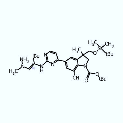 CCC(C)/C(=C\N(C)N)Nc1nccc(-c2cc(C#N)c3c(c2)C(C)(CO[Si](C)(C)C(C)(C)C)CN3C(=O)OC(C)(C)C)n1